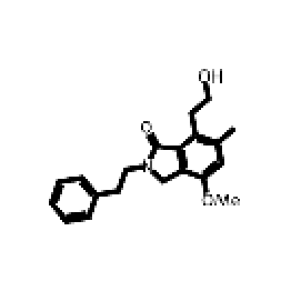 COc1cc(C)c(CCO)c2c1CN(CCc1ccccc1)C2=O